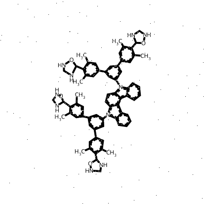 Cc1cc(-c2cc(-c3cc(C)c(C4NCNO4)c(C)c3)cc(-n3c4ccccc4c4c5c6ccccc6n(-c6cc(-c7cc(C)c(C8NCNO8)c(C)c7)cc(-c7cc(C)c(C8NCNO8)c(C)c7)c6)c5ccc43)c2)cc(C)c1C1NCNO1